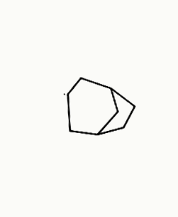 [CH]1CC2CCC(C1)C2